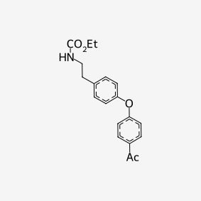 CCOC(=O)NCCc1ccc(Oc2ccc(C(C)=O)cc2)cc1